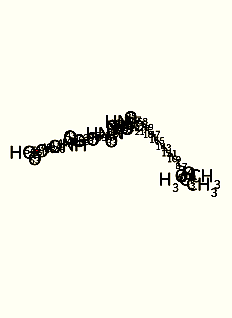 CC(C)(C)OC(=O)CCCCCCCCCCCCCc1ccc(S(=O)(=O)Nc2cnc(C(=O)NCCOCCOCC(=O)NCCOCCOCC(=O)O)nc2)cc1